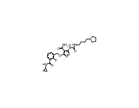 NC(=O)c1c(OCc2cccc(C(=O)NC3CC3)c2F)nsc1NC(=O)NCCCCN1CCCC1